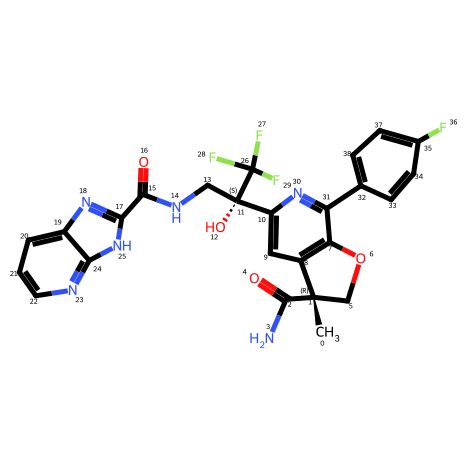 C[C@]1(C(N)=O)COc2c1cc([C@@](O)(CNC(=O)c1nc3cccnc3[nH]1)C(F)(F)F)nc2-c1ccc(F)cc1